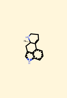 C1=C2c3cccc4[nH]cc(c34)C[C@H]2NCC1